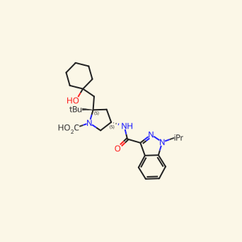 CC(C)n1nc(C(=O)N[C@@H]2CN(C(=O)O)[C@@](CC3(O)CCCCC3)(C(C)(C)C)C2)c2ccccc21